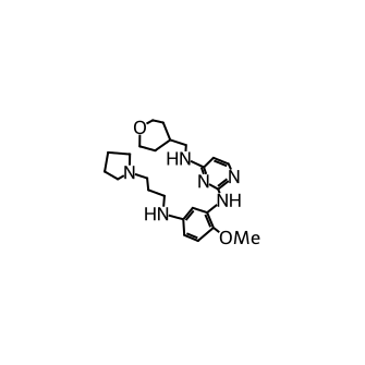 COc1ccc(NCCCN2CCCC2)cc1Nc1nccc(NCC2CCOCC2)n1